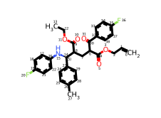 C=CCOC(=O)C(CC(C(=O)OCC)[C@H](Nc1ccc(F)cc1)c1ccc(C)cc1)C(=O)c1ccc(F)cc1